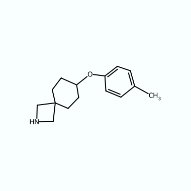 Cc1ccc(OC2CCC3(CC2)CNC3)cc1